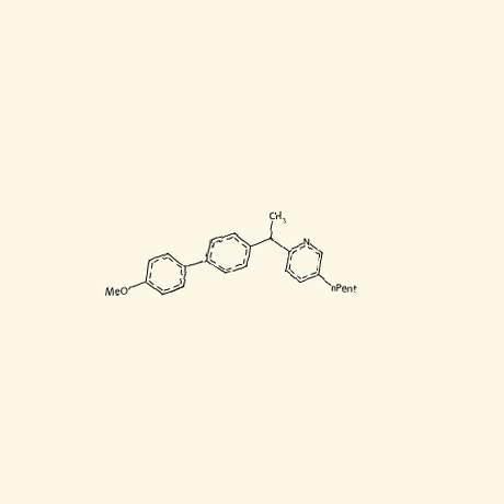 CCCCCc1ccc(C(C)c2ccc(-c3ccc(OC)cc3)cc2)nc1